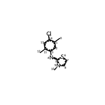 Cc1cc(N=c2sccn2C)c(C)cc1Cl